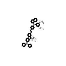 Cc1cc(C)cc(N(c2ccc(/C=C/c3ccc4c(c3)C(C)(C)c3cc(N(c5ccccc5)c5ccccc5)ccc3-4)cc2)c2cccc3ccccc23)c1